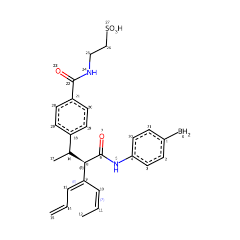 Bc1ccc(NC(=O)[C@@H](C(/C=C\C)=C/C=C)C(C)c2ccc(C(=O)NCCS(=O)(=O)O)cc2)cc1